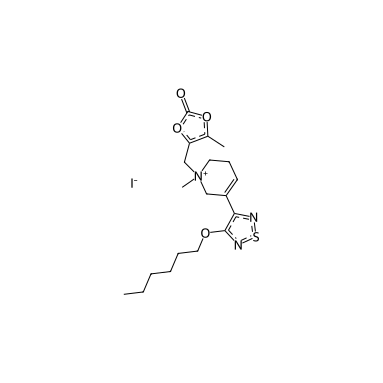 CCCCCCOc1nsnc1C1=CCC[N+](C)(Cc2oc(=O)oc2C)C1.[I-]